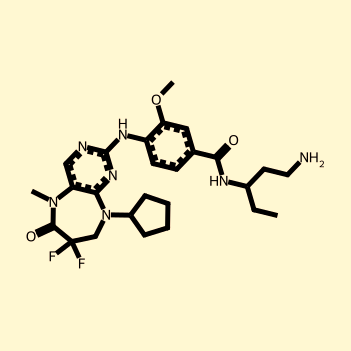 CCC(CCN)NC(=O)c1ccc(Nc2ncc3c(n2)N(C2CCCC2)CC(F)(F)C(=O)N3C)c(OC)c1